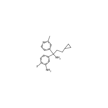 Cc1cc(C(N)(CCC2CC2)c2ccc(F)c(N)c2)ccn1